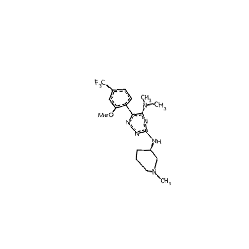 COc1cc(C(F)(F)F)ccc1-c1nnc(N[C@@H]2CCCN(C)C2)nc1N(C)C